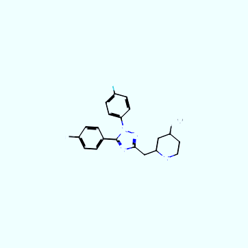 COC1CCNC(Cc2nc(-c3ccc(C(C)C)cc3)n(-c3ccc(F)cc3)n2)C1